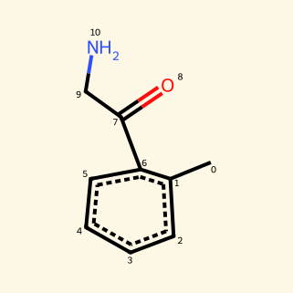 Cc1ccccc1C(=O)CN